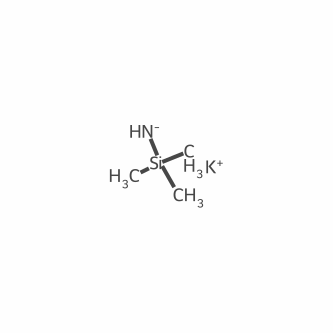 C[Si](C)(C)[NH-].[K+]